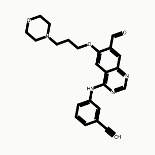 C#Cc1cccc(Nc2ncnc3cc(C=O)c(OCCCN4CCOCC4)cc23)c1